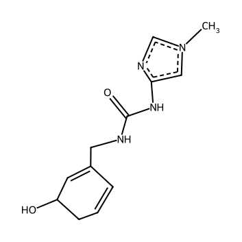 Cn1cnc(NC(=O)NCC2=CC(O)CC=C2)c1